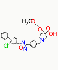 COCCOCC1(C(=O)O)CCN(Cc2ccc(-c3noc(-c4ccc(-c5ccccc5)c(Cl)c4)n3)cc2)CC1